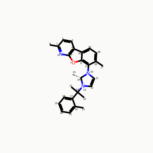 Cc1ccc2c(n1)oc1c(N3C=CN(C(C)(C)c4ccccc4C)[C@@H]3C)c(C)ccc12